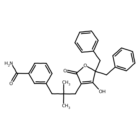 CC(C)(CC1=C(O)C(Cc2ccccc2)(Cc2ccccc2)OC1=O)Cc1cccc(C(N)=O)c1